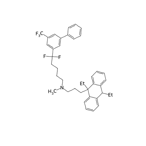 CCC1c2ccccc2C(CC)(CCCN(C)CCCCC(F)(F)c2cc(-c3ccccc3)cc(C(F)(F)F)c2)c2ccccc21